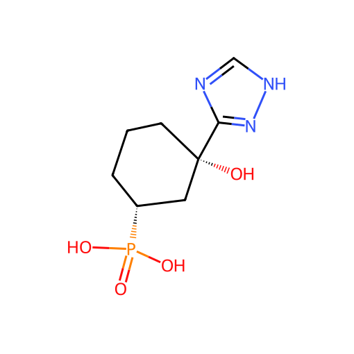 O=P(O)(O)[C@@H]1CCC[C@@](O)(c2nc[nH]n2)C1